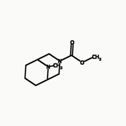 COC(=O)N1CC2CCCC(C1)N2C